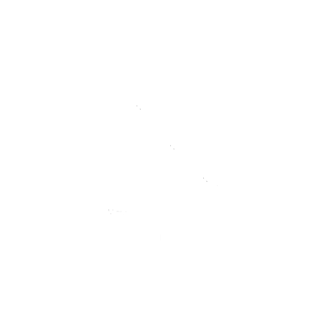 COc1cc(N(C)CCN(C)C)c([N+](=O)[O-])cc1Br